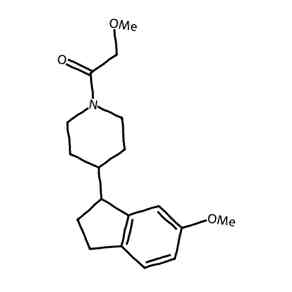 COCC(=O)N1CCC(C2CCc3ccc(OC)cc32)CC1